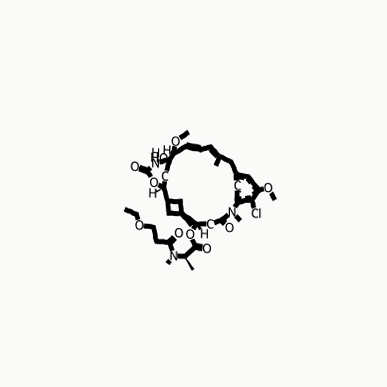 CCOCCC(=O)N(C)[C@H](C)C(=O)O[C@H]1CC(=O)N(C)c2cc(cc(OC)c2Cl)C/C(C)=C/C=C/[C@@H](OC)[C@@]2(O)C[C@H](OC(=O)N2)C2CC1(C)C2